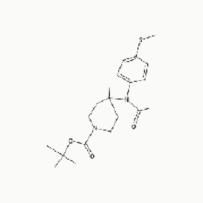 CSc1ccc(N(C(C)=O)C2(C)CCN(C(=O)OC(C)(C)C)CC2)cc1